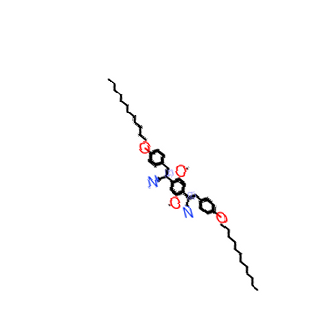 CCCCCCCCCCCCOc1ccc(/C=C(\C#N)c2cc(OC)c(/C(C#N)=C/c3ccc(OCCCCCCCCCCCC)cc3)cc2OC)cc1